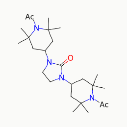 CC(=O)N1C(C)(C)CC(N2CCN(C3CC(C)(C)N(C(C)=O)C(C)(C)C3)C2=O)CC1(C)C